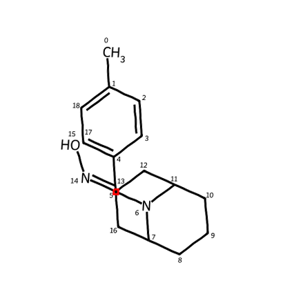 Cc1ccc(CN2C3CCCC2CC(=NO)C3)cc1